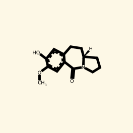 COc1cc2c(cc1O)CC[C@@H]1CCCN1C2=O